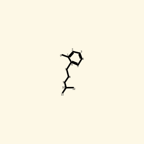 [CH2]c1ccccc1CCCC(C)C